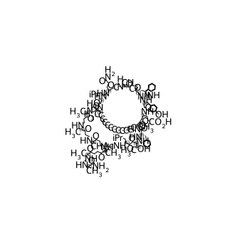 CC(=O)N[C@@H](CC(C)C)C(=O)C(=O)[C@@H](NN[C@@H](Cc1ccccc1)C(=O)N[C@]1(C)CCCCCCCCCCC[C@@](C)(C(=O)CN[C@@H](C)C(=O)CCN[C@@H](C)C(=O)CCN[C@@H](C)C(=O)CCN[C@@H](C)C(=O)CCC(=O)[C@H](C)NCN[C@H](C)C(N)=O)NC(=O)[C@H](CC(C)C)NN[C@@H](CCC(N)=O)C(=O)CN[C@@H](C)C(=O)CC(=O)[C@H](Cc2c[nH]c3ccccc23)NN[C@@H](Cc2ccc(O)cc2)C(=O)N[C@@H](CCC(=O)O)C(=O)C1=O)[C@@H](C)O